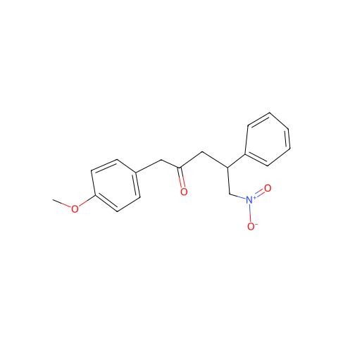 COc1ccc(CC(=O)CC(C[N+](=O)[O-])c2ccccc2)cc1